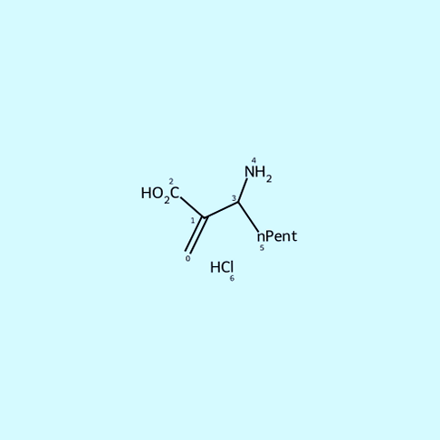 C=C(C(=O)O)C(N)CCCCC.Cl